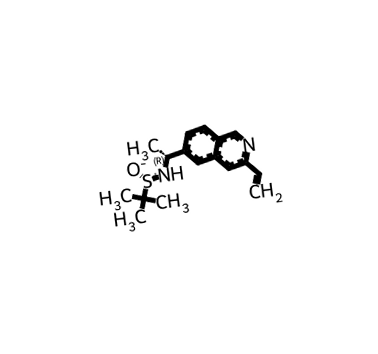 C=Cc1cc2cc([C@@H](C)N[S+]([O-])C(C)(C)C)ccc2cn1